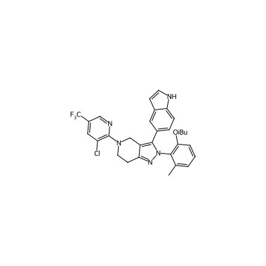 Cc1cccc(OCC(C)C)c1-n1nc2c(c1-c1ccc3[nH]ccc3c1)CN(c1ncc(C(F)(F)F)cc1Cl)CC2